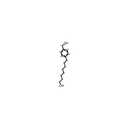 OCCCCCCCCc1ccc(CO)cc1